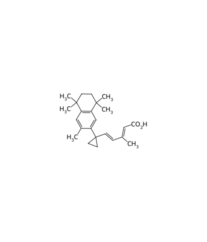 CC(C=CC1(c2cc3c(cc2C)C(C)(C)CCC3(C)C)CC1)=CC(=O)O